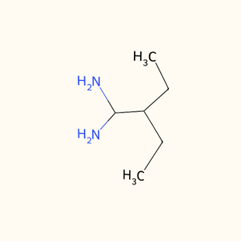 CCC(CC)C(N)N